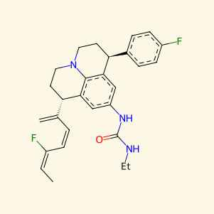 C=C(/C=C\C(F)=C/C)[C@@H]1CCN2CC[C@@H](c3ccc(F)cc3)c3cc(NC(=O)NCC)cc1c32